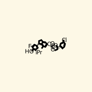 Cc1cc(OCP2(=O)OCC[C@@H](c3cccc(Cl)c3)O2)cc2c1[C@@H](c1cc(F)c(O)c(C(C)C)c1)CC2